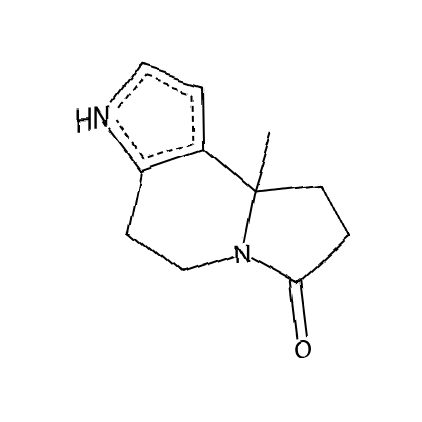 CC12CCC(=O)N1CCc1[nH]ccc12